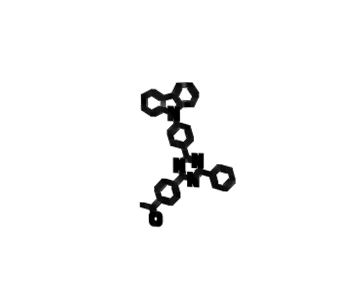 CC(=O)c1ccc(-c2nc(-c3ccccc3)nc(-c3ccc(-n4c5ccccc5c5ccccc54)cc3)n2)cc1